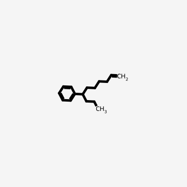 C=CCCCCC(CCC)c1ccccc1